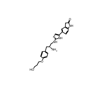 N[C@H](CNc1ncc(-c2ccc3c(c2)CC(=O)N3)[nH]1)Cc1ccc(OCCCO)cc1